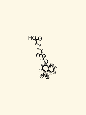 O=C(O)CCCCC(=O)OCOc1ccc([N+](=O)[O-])c2cccnc12